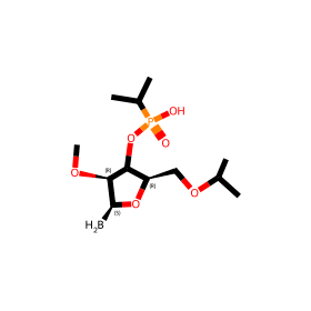 B[C@@H]1O[C@H](COC(C)C)C(OP(=O)(O)C(C)C)[C@@H]1OC